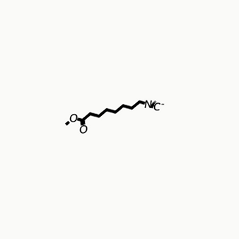 [C-]#[N+]CCCCCCCC(=O)OC